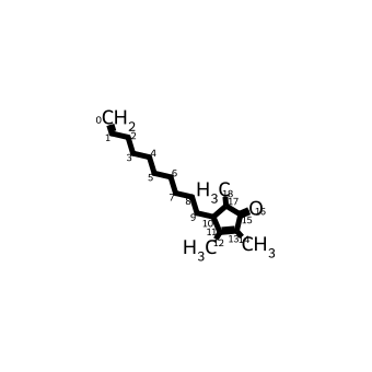 C=CCCCCCCCCC1C(C)=C(C)C(=O)C1C